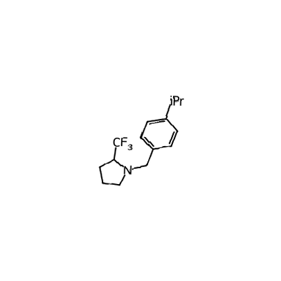 CC(C)c1ccc(CN2CCCC2C(F)(F)F)cc1